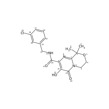 CC1(C)OCCn2c1nc(C(=O)NCc1cccc(Cl)c1)c(O)c2=O